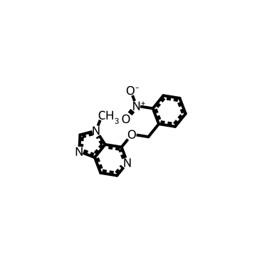 Cn1cnc2ccnc(OCc3ccccc3[N+](=O)[O-])c21